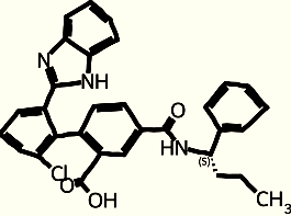 CCC[C@H](NC(=O)c1ccc(-c2c(Cl)cccc2-c2nc3ccccc3[nH]2)c(C(=O)O)c1)c1ccccc1